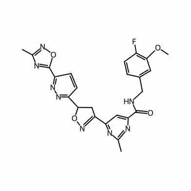 COc1cc(CNC(=O)c2cc(C3=NOC(c4ccc(-c5nc(C)no5)nn4)C3)nc(C)n2)ccc1F